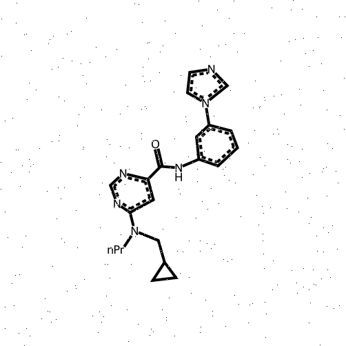 CCCN(CC1CC1)c1cc(C(=O)Nc2cccc(-n3ccnc3)c2)ncn1